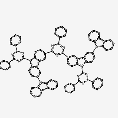 c1ccc(-c2nc(-c3ccc4c(c3)c3cc(-n5c6ccccc6c6ccccc65)ccc3n4-c3nc(-c4ccccc4)nc(-c4ccccc4)n3)nc(-c3ccc4c(c3)c3cc(-n5c6ccccc6c6ccccc65)ccc3n4-c3nc(-c4ccccc4)nc(-c4ccccc4)n3)n2)cc1